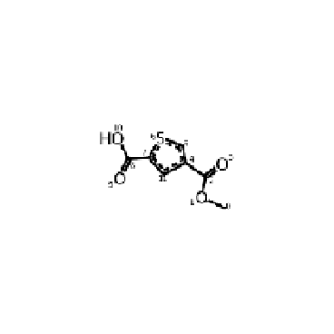 COC(=O)c1csc(C(=O)O)c1